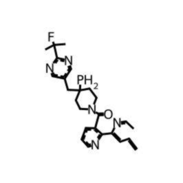 C=C/C=C(\N=C/C)c1ncccc1C(=O)N1CCC(P)(Cc2cnc(C(C)(C)F)nc2)CC1